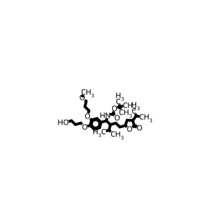 COCCCOc1cc(C(NC(=O)OC(C)(C)C)C(CCC2CC(C(C)C)C(=O)O2)C(C)C)ccc1OCCCO